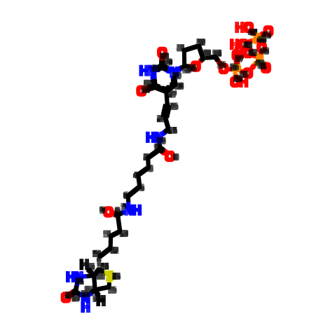 O=C(CCCCCNC(=O)CCCC[C@@H]1SC[C@@H]2NC(=O)N[C@@H]21)NCC#Cc1cn([C@H]2CC[C@@H](COP(=O)(O)OP(=O)(O)OP(=O)(O)O)O2)c(=O)[nH]c1=O